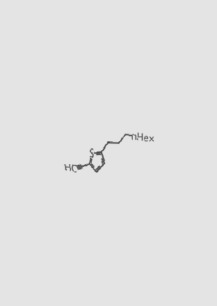 C#Cc1ccc(CCCCCCCCC)s1